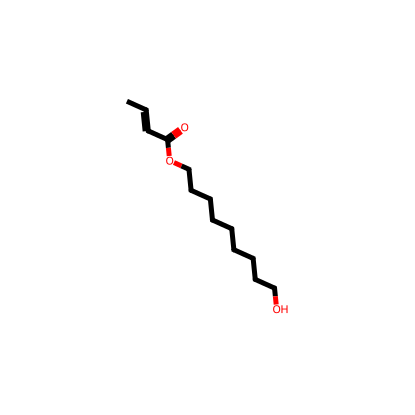 CC=CC(=O)OCCCCCCCCCO